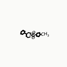 Cc1ccc(S(=O)(=O)N2CCC=C(c3ccccc3)CC2)cc1